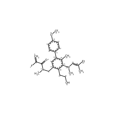 C=C(F)C(=O)N(C)Cc1cc(-c2ccc(OC(F)(F)F)cc2)c(C)c(N(C)/C=C(\C)CC)c1CCO